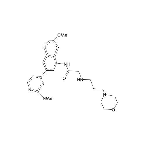 CNc1nccc(-c2cc(NC(=O)CNCCCN3CCOCC3)c3cc(OC)ccc3c2)n1